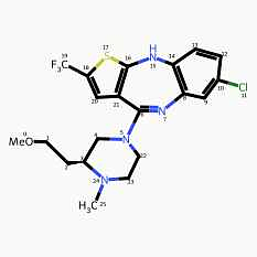 COCC[C@H]1CN(C2=Nc3cc(Cl)ccc3Nc3sc(C(F)(F)F)cc32)CCN1C